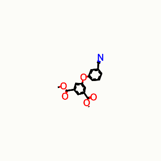 COC(=O)c1cc(Oc2cccc(C#N)c2)cc(C(=O)OC)c1